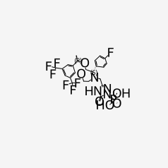 C[C@@H](OC1OCCN(Cc2nn(P(=O)(O)O)c(=O)[nH]2)[C@H]1c1ccc(F)cc1)c1cc(C(F)(F)F)cc(C(F)(F)F)c1